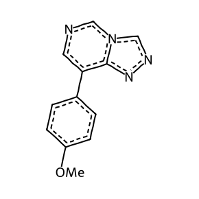 COc1ccc(-c2cncn3cnnc23)cc1